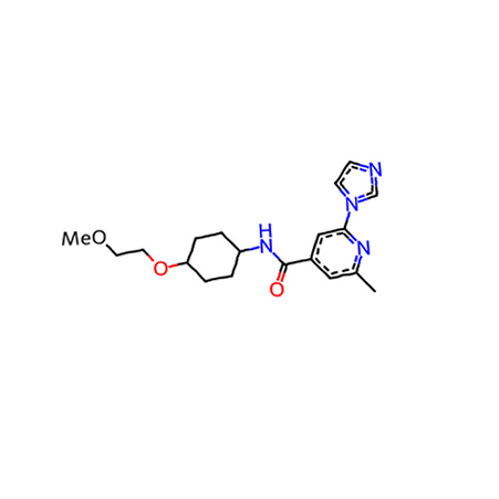 COCCOC1CCC(NC(=O)c2cc(C)nc(-n3ccnc3)c2)CC1